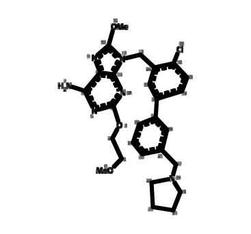 COCCOc1nc(N)c2nc(OC)n(Cc3cc(-c4cccc(CN5CCCC5)c4)ccc3Cl)c2n1